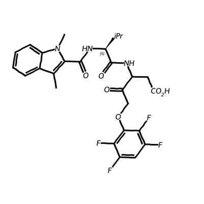 Cc1c(C(=O)N[C@H](C(=O)NC(CC(=O)O)C(=O)COc2c(F)c(F)cc(F)c2F)C(C)C)n(C)c2ccccc12